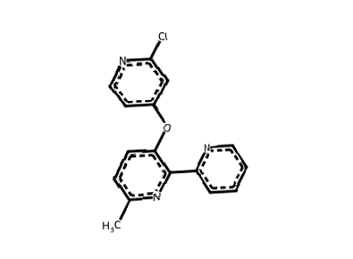 Cc1ccc(Oc2ccnc(Cl)c2)c(-c2ccccn2)n1